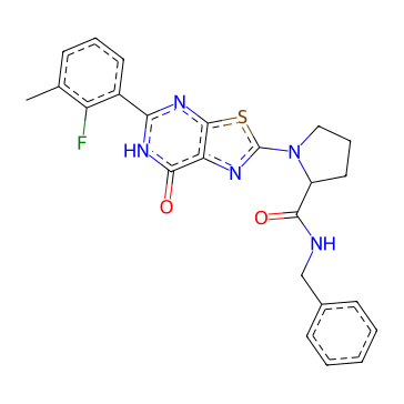 Cc1cccc(-c2nc3sc(N4CCCC4C(=O)NCc4ccccc4)nc3c(=O)[nH]2)c1F